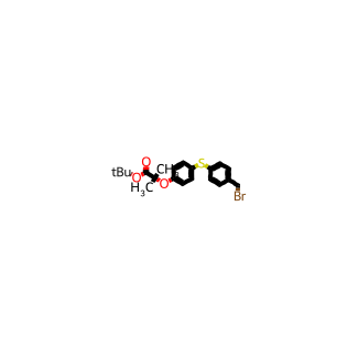 CC(C)(C)OC(=O)C(C)(C)Oc1ccc(Sc2ccc(CBr)cc2)cc1